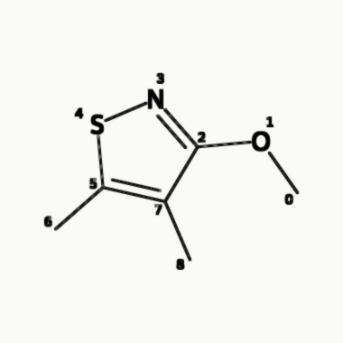 COc1nsc(C)c1C